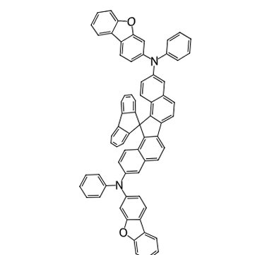 c1ccc(N(c2ccc3c4c(ccc3c2)-c2ccc3cc(N(c5ccccc5)c5ccc6c(c5)oc5ccccc56)ccc3c2C42c3ccccc3-c3ccccc32)c2ccc3c(c2)oc2ccccc23)cc1